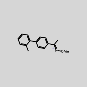 CO/N=C(\C)c1ccc(-c2ccccc2C)cc1